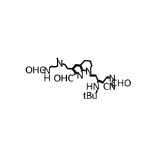 CN(CCNC=O)CCc1cc2c(nc1C=O)N(/C=C/C(NCC(C)(C)C)=C(C#N)\C=N/C=O)CCC2